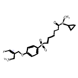 CN(C(=O)CCCCCS(=O)(=O)c1ccc(OC/C(=C/F)CN)cc1)C1CC1